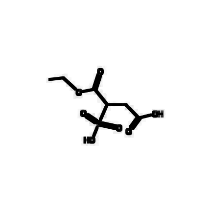 CCOC(=O)C(CC(=O)O)S(=O)(=O)O